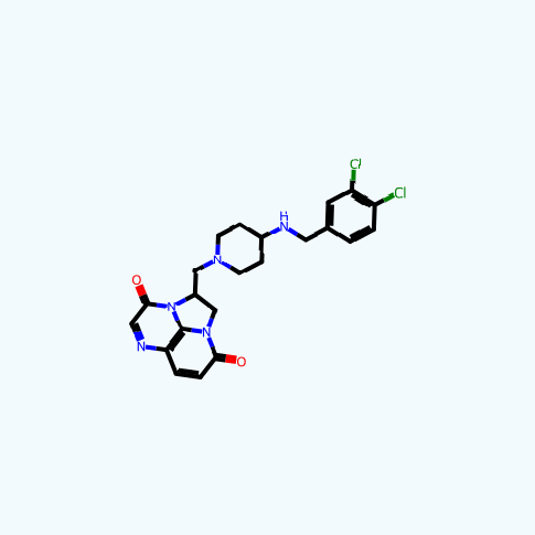 O=c1ccc2ncc(=O)n3c2n1CC3CN1CCC(NCc2ccc(Cl)c(Cl)c2)CC1